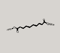 CCCOC(=O)CCCCCCCCC(=O)OC